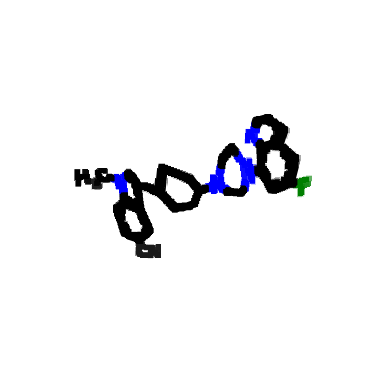 Cn1cc(C2CCC(N3CCN(c4cc(F)cc5cccnc45)CC3)CC2)c2cc(C#N)ccc21